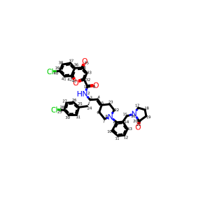 O=C(N[C@H](C=C1CCN(c2ccccc2CN2CCCC2=O)CC1)Cc1ccc(Cl)cc1)c1cc(=O)c2ccc(Cl)cc2o1